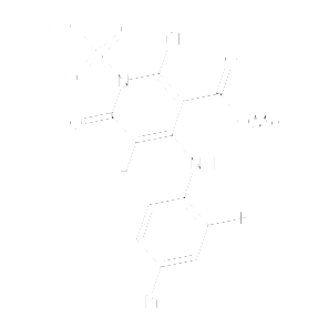 COC(=O)c1c(Nc2ccc(Br)cc2F)c(F)c(=O)n(S(C)(=O)=O)c1C